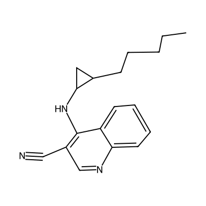 CCCCCC1CC1Nc1c(C#N)cnc2ccccc12